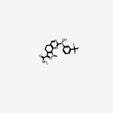 Cn1nc(C(N)=O)c2c1-c1nc(N(O)c3cccc(C(F)(F)F)c3)ncc1CC2